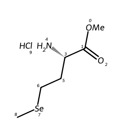 COC(=O)[C@@H](N)CC[Se]C.Cl